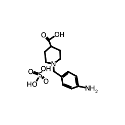 Nc1ccc(CN2CCC(C(=O)O)CC2)cc1.O=S(=O)(O)O